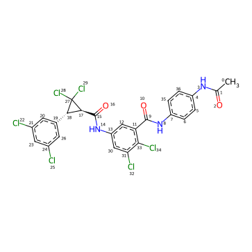 CC(=O)Nc1ccc(NC(=O)c2cc(NC(=O)[C@H]3[C@H](c4cc(Cl)cc(Cl)c4)C3(Cl)Cl)cc(Cl)c2Cl)cc1